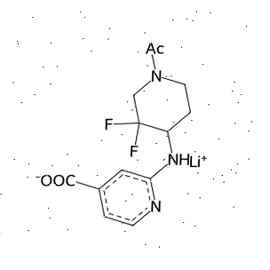 CC(=O)N1CCC(Nc2cc(C(=O)[O-])ccn2)C(F)(F)C1.[Li+]